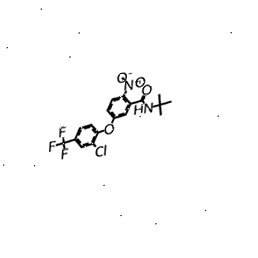 CC(C)(C)NC(=O)c1cc(Oc2ccc(C(F)(F)F)cc2Cl)ccc1[N+](=O)[O-]